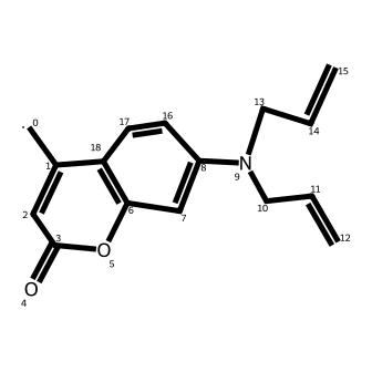 [CH2]c1cc(=O)oc2cc(N(CC=C)CC=C)ccc12